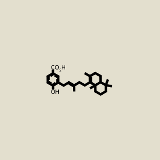 CC1=C(CC/C(C)=C/Cc2cc(C(=O)O)ccc2O)C2(C)CCCC(C)(C)C2CC1